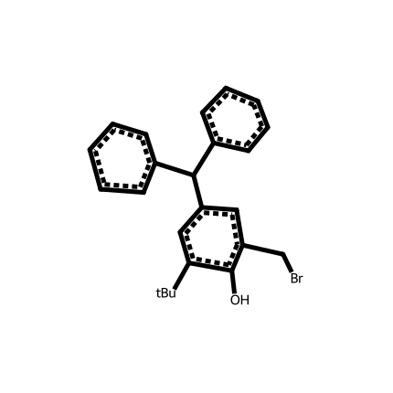 CC(C)(C)c1cc(C(c2ccccc2)c2ccccc2)cc(CBr)c1O